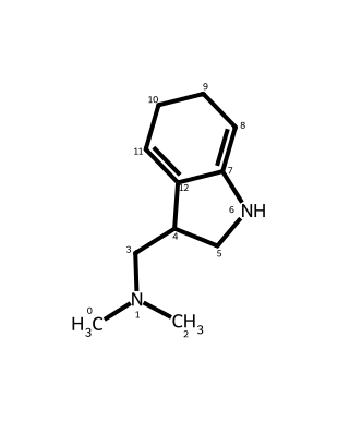 CN(C)CC1CNC2=CCCC=C21